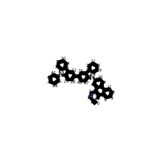 C#C/C=C\c1c(C)c2ccccc2c2ccc(-n3c4ccccc4c4cc(-c5ccc6c(c5)c5ccccc5n6-c5ccccc5)ccc43)cc12